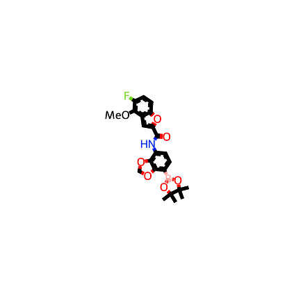 COc1c(F)ccc2oc(C(=O)Nc3ccc(B4OC(C)(C)C(C)(C)O4)c4c3OCO4)cc12